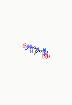 COC(=O)N[C@H](C(=O)N1CCC[C@H]1c1ncc(-c2ccc(-c3ccc(-c4cccc(-c5cnc([C@@H]6CCCN6C(=O)[C@H](C(C)C)N(C)C(=O)O)[nH]5)c4)n3-c3ccc(C(C)(C)C)cc3)cc2)[nH]1)C(C)C